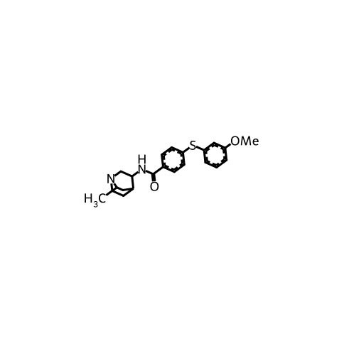 COc1cccc(Sc2ccc(C(=O)NC3CN4CCC3CC4C)cc2)c1